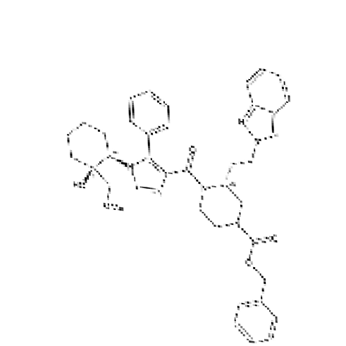 COC[C@]1(O)CCCC[C@H]1n1cnc(C(=O)N2CCN(C(=O)OCc3ccccc3)C[C@H]2CCn2cc3ccccc3n2)c1-c1ccccc1